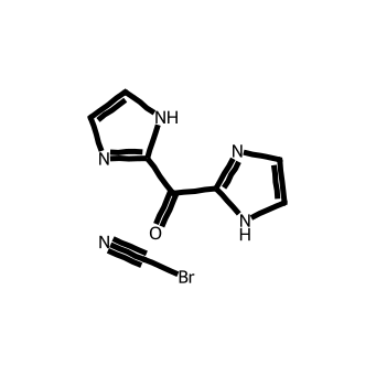 N#CBr.O=C(c1ncc[nH]1)c1ncc[nH]1